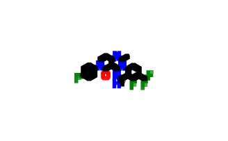 Cc1nc(N[C@H](C)c2cccc(C(F)F)c2F)c2c(=O)n(C34CCC(F)(CC3)CC4)ccc2n1